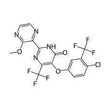 COc1nccnc1-c1nc(C(F)(F)F)c(Oc2ccc(Cl)c(C(F)(F)F)c2)c(=O)[nH]1